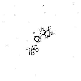 O=c1[nH]cnc2c1nnn2[C@@H]1O[C@H](COP(=O)(O)S)C[C@@H]1F